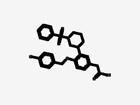 O=C(O)Cc1ccc(OCc2ccc(Cl)cc2)c(C2CCCN(S(=O)(=O)c3ccccc3)C2)c1